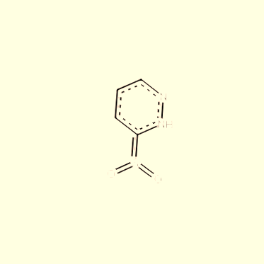 O=S(=O)=c1cccn[nH]1